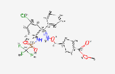 COC(=O)c1ccc(CO/N=C(\c2ccccc2)c2cc(Cl)ccc2NS(=O)(=O)C(F)(F)F)cc1